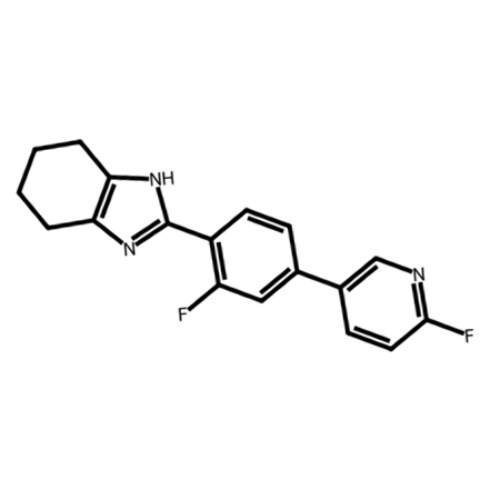 Fc1ccc(-c2ccc(-c3nc4c([nH]3)CCCC4)c(F)c2)cn1